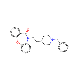 O=C1c2ccccc2Oc2ccccc2N1CCC1CCN(Cc2ccccc2)CC1